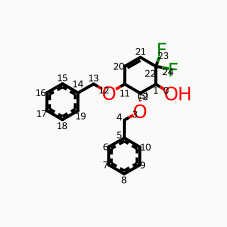 OC1[C@H](OCc2ccccc2)C(OCc2ccccc2)C=CC1(F)F